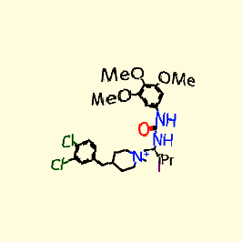 COc1cc(NC(=O)N[C@H](C[N+]2(C)CCC(Cc3ccc(Cl)c(Cl)c3)CC2)C(C)C)cc(OC)c1OC.[I-]